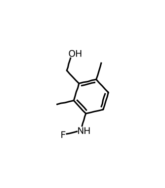 Cc1ccc(NF)c(C)c1CO